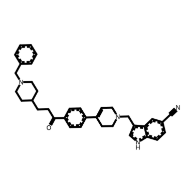 N#Cc1ccc2[nH]cc(CN3CC=C(c4ccc(C(=O)CCC5CCN(Cc6ccccc6)CC5)cc4)CC3)c2c1